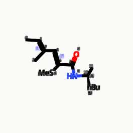 C/C=C(C)/C=C(\SC)C(=O)N[C@@H](C)CCCC